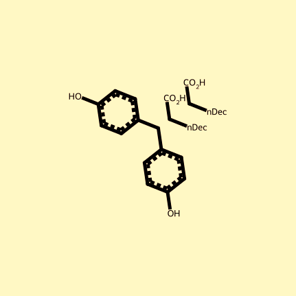 CCCCCCCCCCCC(=O)O.CCCCCCCCCCCC(=O)O.Oc1ccc(Cc2ccc(O)cc2)cc1